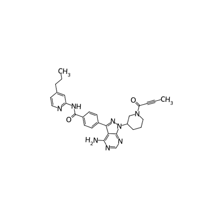 CC#CC(=O)N1CCCC(n2nc(-c3ccc(C(=O)Nc4cc(CCC)ccn4)cc3)c3c(N)ncnc32)C1